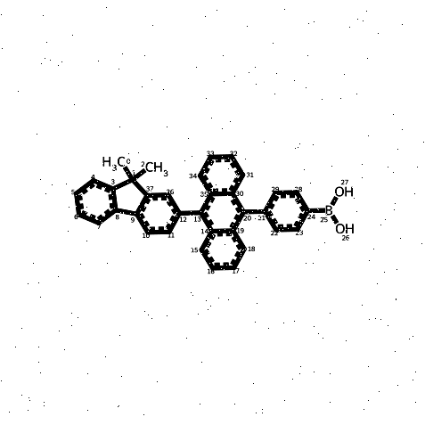 CC1(C)c2ccccc2-c2ccc(-c3c4ccccc4c(-c4ccc(B(O)O)cc4)c4ccccc34)cc21